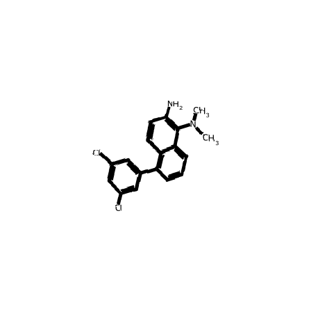 CN(C)c1c(N)ccc2c(-c3cc(Cl)cc(Cl)c3)cccc12